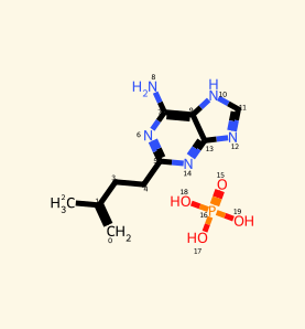 C=C(C)CCc1nc(N)c2[nH]cnc2n1.O=P(O)(O)O